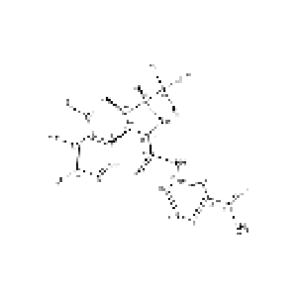 COc1c([C@H]2[C@@H](C)[C@](C)(C(F)(F)F)O[C@H]2C(=O)Nc2cncc(C(N)=O)c2)ccc(F)c1F